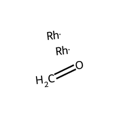 C=O.[Rh].[Rh]